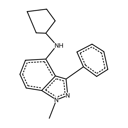 Cn1nc(-c2ccccc2)c2c(NC3CCCC3)cccc21